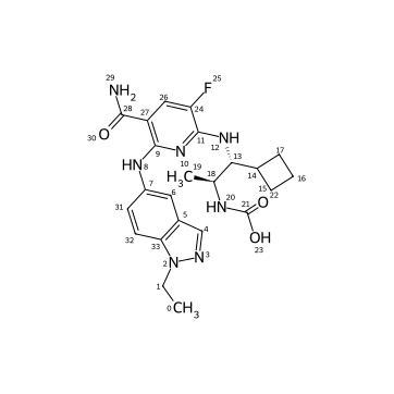 CCn1ncc2cc(Nc3nc(N[C@H](C4CCC4)[C@H](C)NC(=O)O)c(F)cc3C(N)=O)ccc21